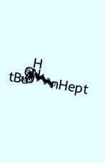 CCCCCCCCCCCCNC(=O)OC(C)(C)C